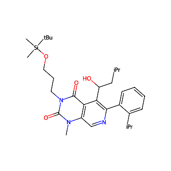 CC(C)CC(O)c1c(-c2ccccc2C(C)C)ncc2c1c(=O)n(CCCO[Si](C)(C)C(C)(C)C)c(=O)n2C